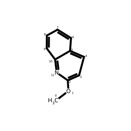 COc1ccc2[c]cccc2n1